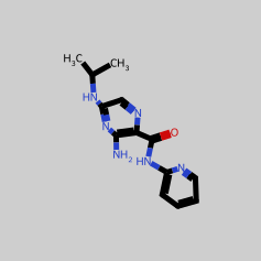 CC(C)Nc1cnc(C(=O)Nc2ccccn2)c(N)n1